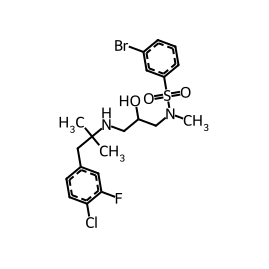 CN(CC(O)CNC(C)(C)Cc1ccc(Cl)c(F)c1)S(=O)(=O)c1cccc(Br)c1